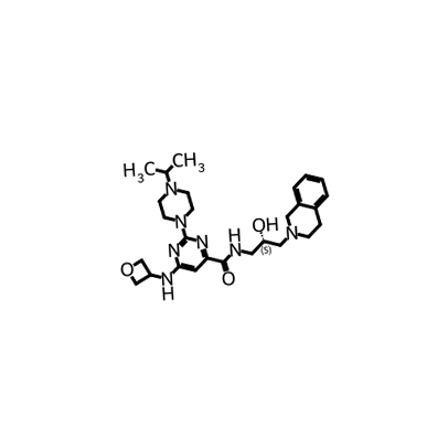 CC(C)N1CCN(c2nc(NC3COC3)cc(C(=O)NC[C@H](O)CN3CCc4ccccc4C3)n2)CC1